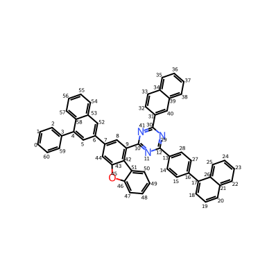 c1ccc(-c2cc(-c3cc(-c4nc(-c5ccc(-c6cccc7ccccc67)cc5)nc(-c5ccc6ccccc6c5)n4)c4c(c3)oc3ccccc34)cc3ccccc23)cc1